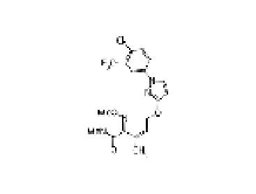 CNC(=O)C(=NOC)C(C)=CCOc1ccn(-c2ccc(Cl)c(C(F)(F)F)c2)n1